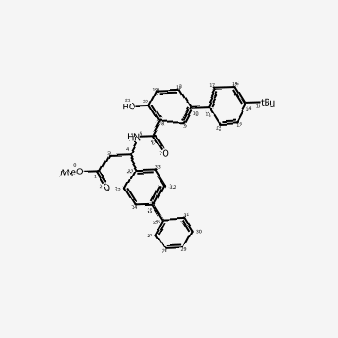 COC(=O)CC(NC(=O)c1cc(-c2ccc(C(C)(C)C)cc2)ccc1O)c1ccc(-c2ccccc2)cc1